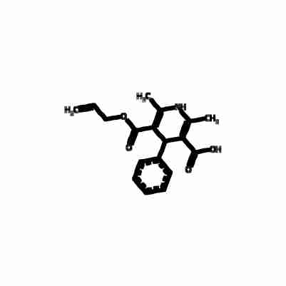 C=CCOC(=O)C1=C(C)NC(C)=C(C(=O)O)C1c1ccccc1